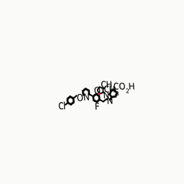 CC1(C)COCC1n1c(Cc2ccc(-c3cccc(OCc4ccc(Cl)cc4)n3)cc2F)nc2ccc(C(=O)O)cc21